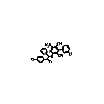 N#Cc1c(N)nc(SC(C(=O)c2ccc(Cl)cc2)c2ccccc2)c(C#N)c1-c1cccc(Cl)c1